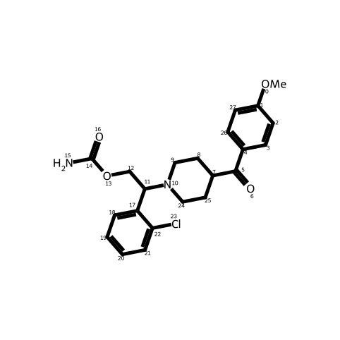 COc1ccc(C(=O)C2CCN(C(COC(N)=O)c3ccccc3Cl)CC2)cc1